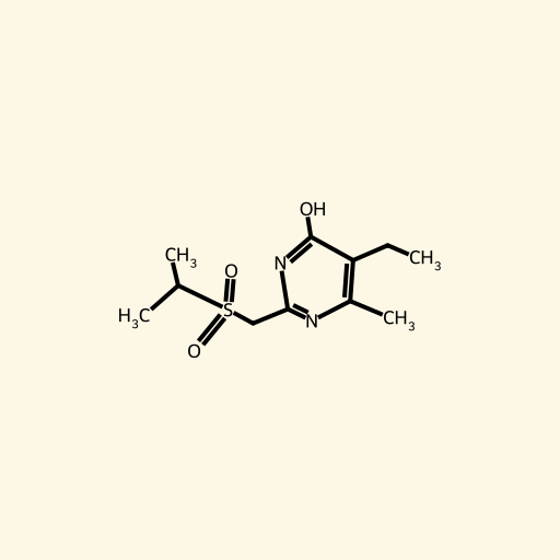 CCc1c(C)nc(CS(=O)(=O)C(C)C)nc1O